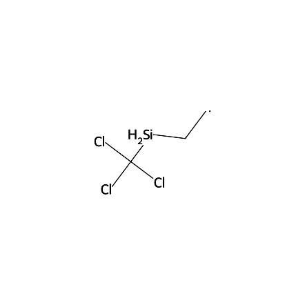 [CH2]C[SiH2]C(Cl)(Cl)Cl